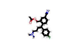 CC(=O)OCc1cc(C#N)ccc1C(=CCCN(C)C)c1ccc(F)cc1